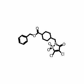 O=C(OCc1ccccc1)C1CCC(CN2C(=O)C(Cl)=C(Cl)S2(=O)=O)CC1